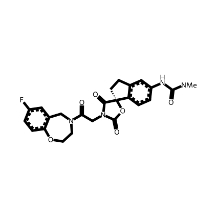 CNC(=O)Nc1ccc2c(c1)CC[C@@]21OC(=O)N(CC(=O)N2CCOc3ccc(F)cc3C2)C1=O